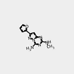 CNc1nc(N)n2nc(-c3ccco3)cc2n1